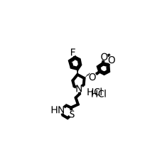 Cl.Cl.Fc1ccc([C@@H]2CCN(CCCC3CNCCS3)C[C@H]2COc2ccc3c(c2)OCO3)cc1